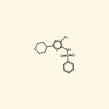 CC(=O)c1cc(C2CCOCC2)sc1NS(=O)(=O)c1ccccc1